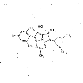 CCCC(CCC)n1c(=N)c2cc(-c3c(C)cc(Br)cc3C)c3nc(C)cc1n32.Cl